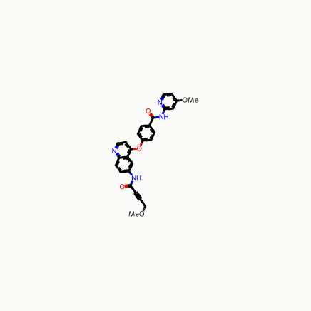 COCC#CC(=O)Nc1ccc2nccc(Oc3ccc(C(=O)Nc4cc(OC)ccn4)cc3)c2c1